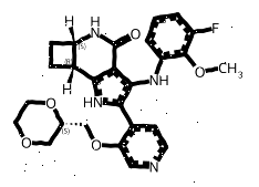 COc1c(F)cccc1Nc1c(-c2ccncc2OC[C@@H]2COCCO2)[nH]c2c1C(=O)N[C@H]1CC[C@@H]21